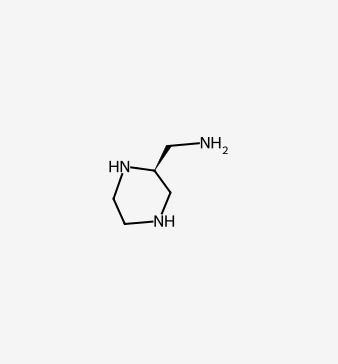 NC[C@H]1CNCCN1